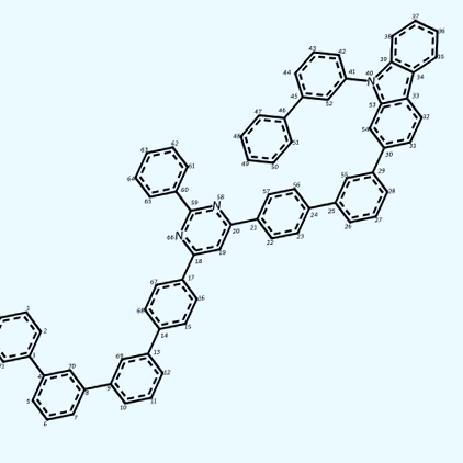 c1ccc(-c2cccc(-c3cccc(-c4ccc(-c5cc(-c6ccc(-c7cccc(-c8ccc9c%10ccccc%10n(-c%10cccc(-c%11ccccc%11)c%10)c9c8)c7)cc6)nc(-c6ccccc6)n5)cc4)c3)c2)cc1